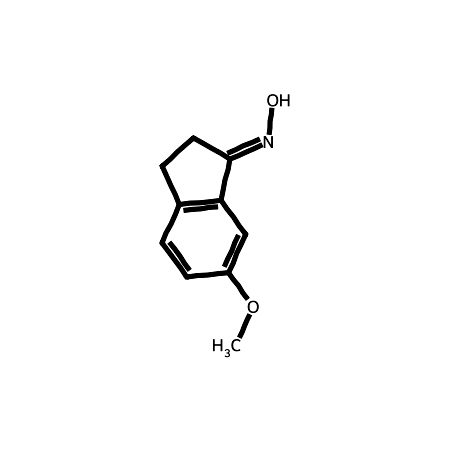 COc1ccc2c(c1)C(=NO)CC2